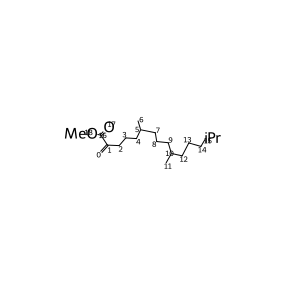 C=C(CCCC(C)CCCC(C)CCCC(C)C)C(=O)OC